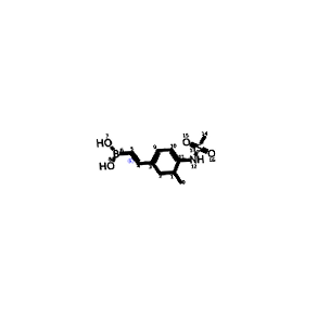 CC1CC(/C=C/B(O)O)=CC=C1NS(C)(=O)=O